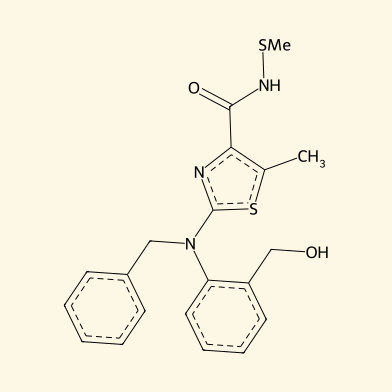 CSNC(=O)c1nc(N(Cc2ccccc2)c2ccccc2CO)sc1C